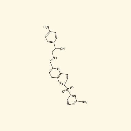 Nc1ccc(C(O)CNCC2CCc3cc(S(=O)(=O)c4ccnc(N)n4)ccc3O2)cc1